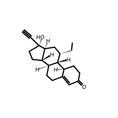 C#C[C@]1(O)CC[C@H]2[C@@H]3CCC4=CC(=O)CC[C@@H]4[C@H]3[C@@H](CC)C[C@@H]21